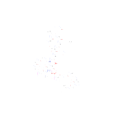 CC[C@H](C)[C@H](NC(=O)[C@@H](N)CC(=O)O)C(=O)N[C@@H](CCC(N)=O)C(=O)N[C@@H](CCSC)C(=O)N[C@H](C(=O)N[C@@H](CCC(N)=O)C(=O)N[C@@H](CO)C(=O)N1CCC[C@H]1C(=O)N[C@@H](C)C(=O)N[C@@H](CO)C(=O)N[C@@H](CC(C)C)C(=O)N[C@@H](CO)C(=O)N[C@H](C(=O)N[C@@H](CO)C(=O)N[C@H](C(=O)NCC(=O)N[C@@H](CCC(=O)O)C(=O)N[C@H](C(=O)N[C@H](C(=O)N[C@H](C(=O)O)[C@@H](C)O)C(C)C)[C@@H](C)O)C(C)C)C(C)C)[C@@H](C)O